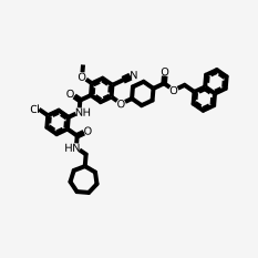 COc1cc(C#N)c(OC2CCC(C(=O)OCc3cccc4ccccc34)CC2)cc1C(=O)Nc1cc(Cl)ccc1C(=O)NCC1CCCCCC1